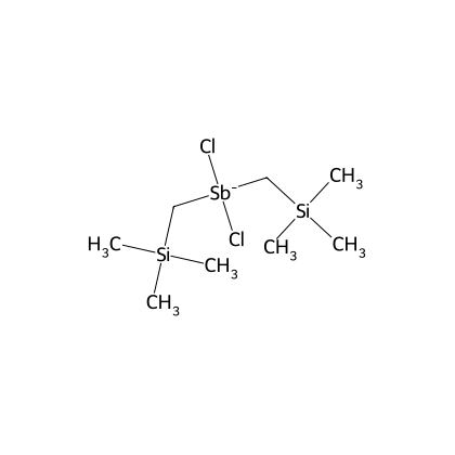 C[Si](C)(C)[CH2][Sb-]([Cl])([Cl])[CH2][Si](C)(C)C